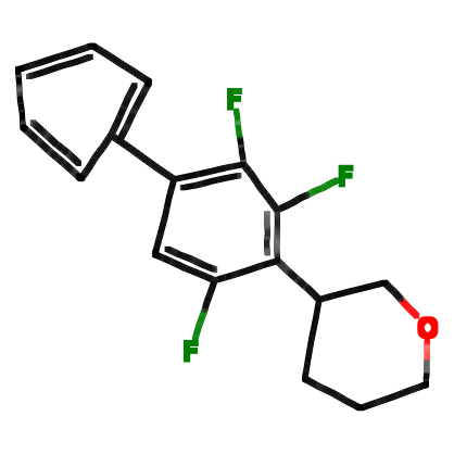 Fc1cc(-c2ccccc2)c(F)c(F)c1C1CCCOC1